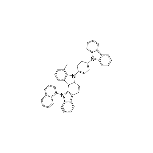 Cc1cccc2c1N(C1=CC=C(n3c4ccccc4c4ccccc43)CC1)C1C=Cc3c(n(-c4cccc5ccccc45)c4c#cccc34)C21